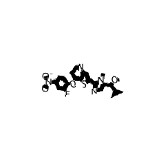 COC(c1cnc(-c2cc3nccc(Oc4ccc([N+](=O)[O-])cc4F)c3s2)n1C)C1CC1